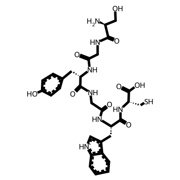 N[C@@H](CO)C(=O)NCC(=O)N[C@@H](Cc1ccc(O)cc1)C(=O)NCC(=O)N[C@@H](Cc1c[nH]c2ccccc12)C(=O)N[C@@H](CS)C(=O)O